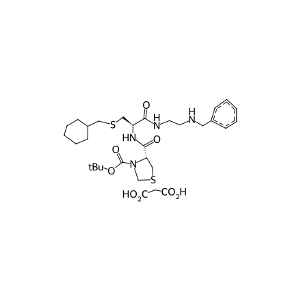 CC(C)(C)OC(=O)N1CSC[C@H]1C(=O)N[C@@H](CSCC1CCCCC1)C(=O)NCCNCc1ccccc1.O=C(O)CC(=O)O